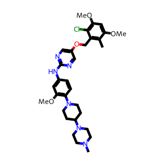 COc1cc(Nc2ncc(OCc3c(C)c(OC)cc(OC)c3Cl)cn2)ccc1N1CCC(N2CCN(C)CC2)CC1